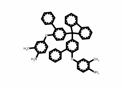 Cc1cc(Oc2ccc(C3(c4ccc(Oc5ccc(N)c(C)c5)c(-c5ccccc5)c4)c4ccccc4-c4ccccc43)cc2-c2ccccc2)ccc1N